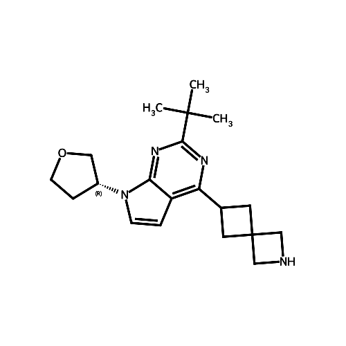 CC(C)(C)c1nc(C2CC3(CNC3)C2)c2ccn([C@@H]3CCOC3)c2n1